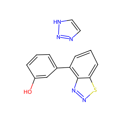 Oc1cccc(-c2cccc3snnc23)c1.c1c[nH]nn1